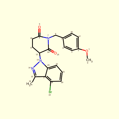 COc1ccc(CN2C(=O)CCC(n3nc(C)c4c(Br)cccc43)C2=O)cc1